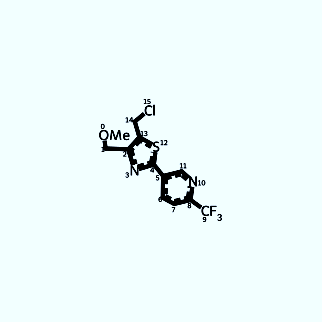 COCc1nc(-c2ccc(C(F)(F)F)nc2)sc1CCl